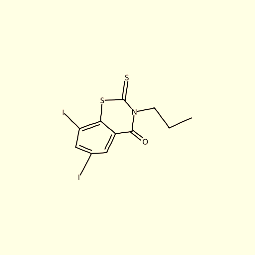 CCCn1c(=S)sc2c(I)cc(I)cc2c1=O